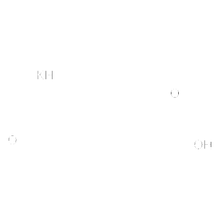 C1CCOC1.CCCC(=O)O.[KH]